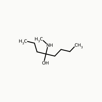 CCCCC(O)(CCC)NC